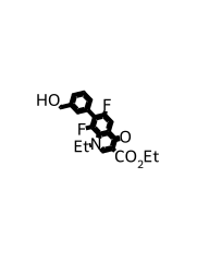 CCOC(=O)c1cn(CC)c2c(F)c(-c3cccc(CO)c3)c(F)cc2c1=O